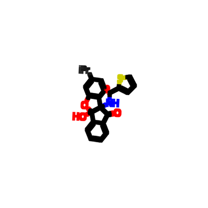 CC(C)c1ccc2c(c1)OC1(O)c3ccccc3C(=O)C21NC(=O)c1cccs1